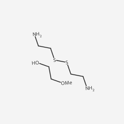 COCCO.NCCSSCCN